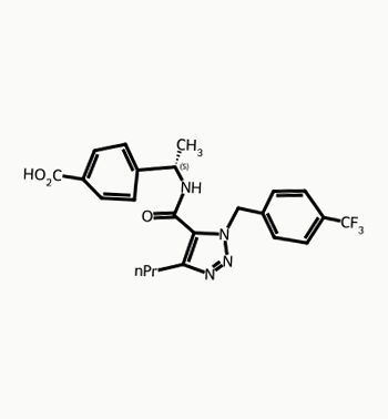 CCCc1nnn(Cc2ccc(C(F)(F)F)cc2)c1C(=O)N[C@@H](C)c1ccc(C(=O)O)cc1